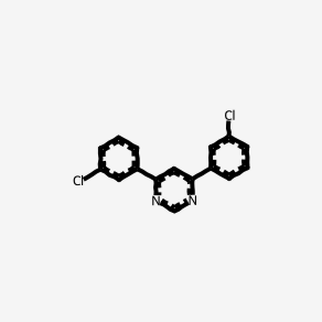 Clc1cccc(-c2cc(-c3cccc(Cl)c3)ncn2)c1